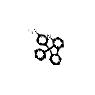 Nc1ccc(C2(c3ccccc3)c3ccccc3-c3cccc(N)c32)cc1